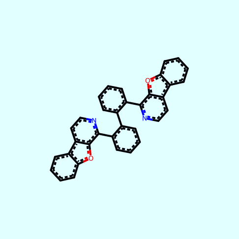 c1ccc(-c2nccc3c2oc2ccccc23)c(-c2ccccc2-c2nccc3c2oc2ccccc23)c1